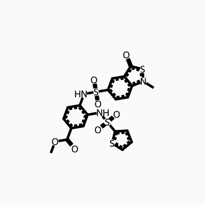 COC(=O)c1ccc(NS(=O)(=O)c2ccc3c(c2)c(=O)sn3C)c(NS(=O)(=O)c2cccs2)c1